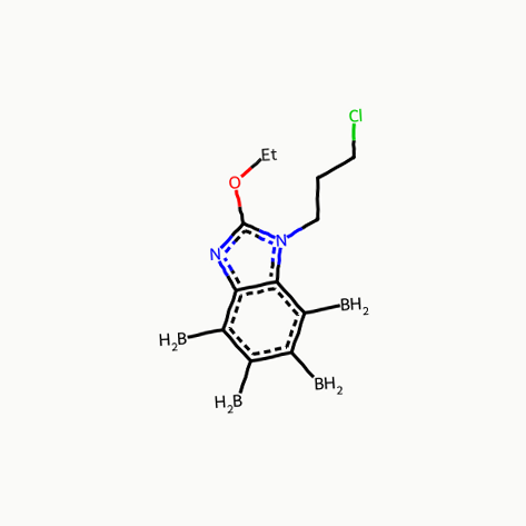 Bc1c(B)c(B)c2c(nc(OCC)n2CCCCl)c1B